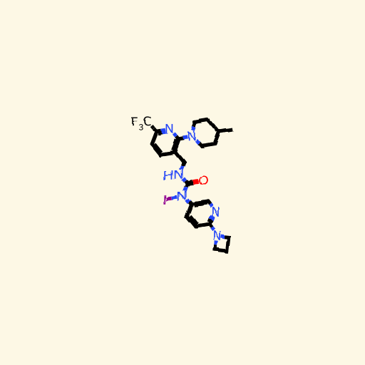 CC1CCN(c2nc(C(F)(F)F)ccc2CNC(=O)N(I)c2ccc(N3CCC3)nc2)CC1